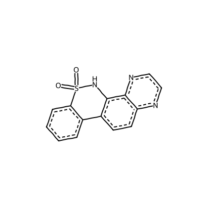 O=S1(=O)Nc2c(ccc3nccnc23)-c2ccccc21